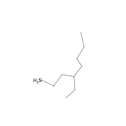 CCCCC(CC)C[CH][SiH3]